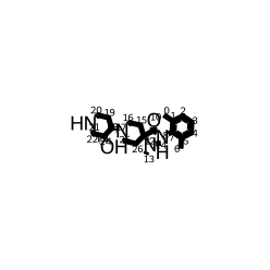 Cc1cccc(C)c1NC(=O)C1(N(C)C)CCN([C@H]2CCNC[C@@H]2O)CC1